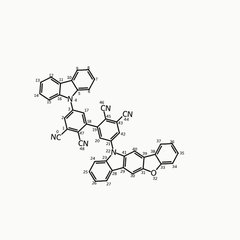 N#Cc1cc(-n2c3ccccc3c3ccccc32)cc(-c2cc(-n3c4ccccc4c4cc5oc6ccccc6c5cc43)cc(C#N)c2C#N)c1C#N